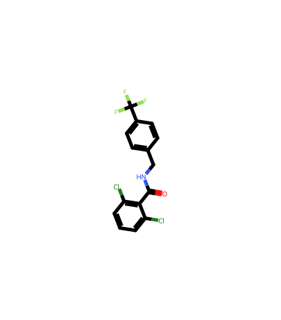 O=C(NCc1ccc(C(F)(F)F)cc1)c1c(Cl)cccc1Cl